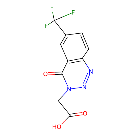 O=C(O)Cn1nnc2ccc(C(F)(F)F)cc2c1=O